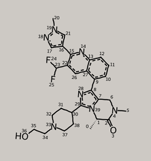 C[C@H]1C(=O)N(C)Cc2c(-c3cccc4nc(-c5cnn(C)c5)c(C(F)F)cc34)nc(C3CCN(CCO)CC3)n21